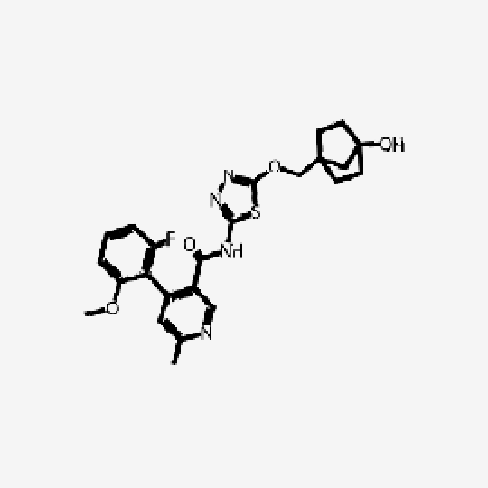 COc1cccc(F)c1-c1cc(C)ncc1C(=O)Nc1nnc(OCC23CCC(O)(CC2)C3)s1